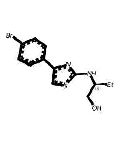 CC[C@@H](CO)Nc1nc(-c2ccc(Br)cc2)cs1